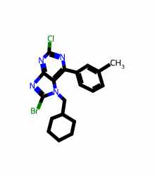 Cc1cccc(-c2nc(Cl)nc3nc(Br)n(CC4CCCCC4)c23)c1